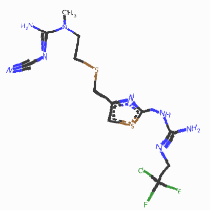 CN(CCSCc1csc(NC(N)=NCC(F)(F)Cl)n1)C(N)=NC#N